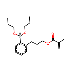 C=C(C)C(=O)OCCCc1ccccc1[SiH](OCCC)OCCC